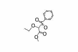 CCOC(C(=O)OC)S(=O)(=O)c1ccccc1